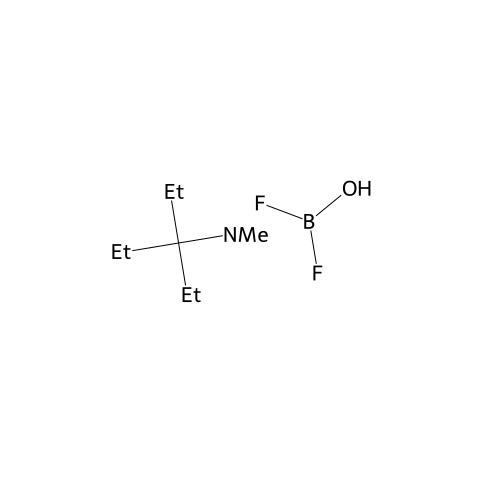 CCC(CC)(CC)NC.OB(F)F